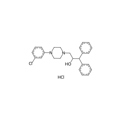 Cl.OC(CN1CCN(c2cccc(Cl)c2)CC1)C(c1ccccc1)c1ccccc1